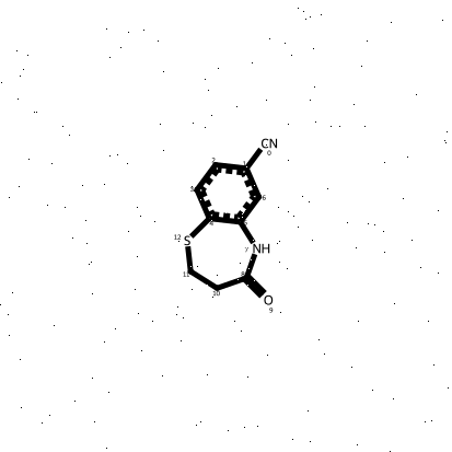 N#Cc1ccc2c(c1)NC(=O)CCS2